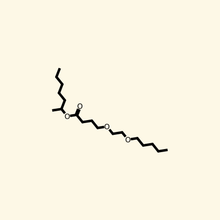 CCCCCOCCOCCCC(=O)OC(C)CCCCC